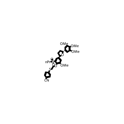 CCCS(=O)(=O)c1cc([C@H]2CC[C@H](c3cc(OC)c(OC)c(OC)c3)O2)cc(OC)c1OCCSc1ccc(C#N)cc1